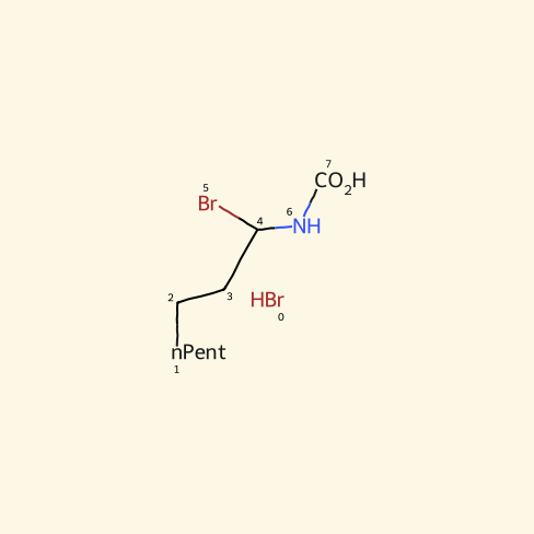 Br.CCCCCCCC(Br)NC(=O)O